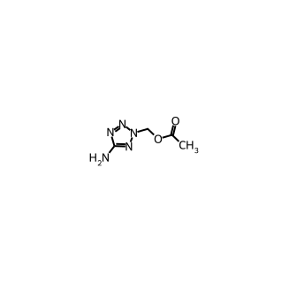 CC(=O)OCn1nnc(N)n1